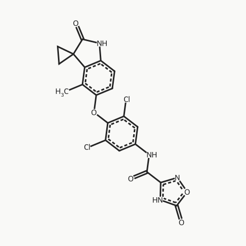 Cc1c(Oc2c(Cl)cc(NC(=O)c3noc(=O)[nH]3)cc2Cl)ccc2c1C1(CC1)C(=O)N2